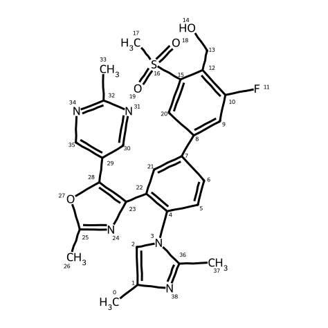 Cc1cn(-c2ccc(-c3cc(F)c(CO)c(S(C)(=O)=O)c3)cc2-c2nc(C)oc2-c2cnc(C)nc2)c(C)n1